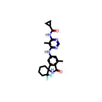 Cc1cc(Nc2ncnc(NC(=O)C3CC3)c2C)cc2c1C(=O)NC21CCCCC1(F)F